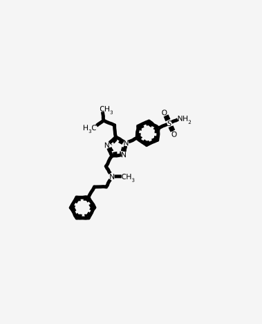 CC(C)Cc1nc(CN(C)CCc2ccccc2)nn1-c1ccc(S(N)(=O)=O)cc1